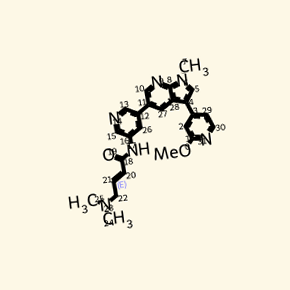 COc1cc(-c2cn(C)c3ncc(-c4cncc(NC(=O)/C=C/CN(C)C)c4)cc23)ccn1